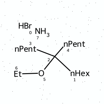 Br.CCCCCCC(CCCCC)(CCCCC)OCC.N